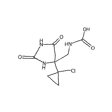 O=C(O)NCC1(C2(Cl)CC2)NC(=O)NC1=O